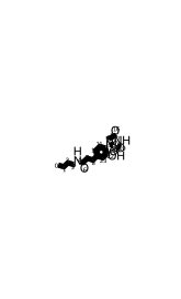 CCCCNC(=O)CCc1ccc(N2CC(=O)NS2(=O)=O)c(O)c1